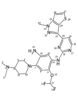 CN(C)C1CCN(c2cc(OC(F)F)c(Nc3nccc(-c4nn(C)c5ccsc45)n3)cc2N)CC1